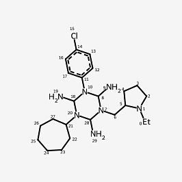 CCN1CCCC1CN1C(N)N(c2ccc(Cl)cc2)C(N)N(C2CCCCCC2)C1N